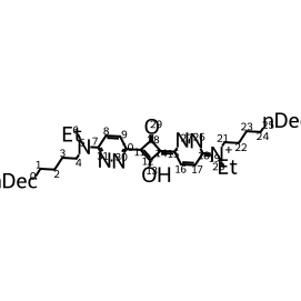 CCCCCCCCCCCCCCN(CC)c1ccc(C2=C(O)/C(=C3C=C/C(=[N+](\CC)CCCCCCCCCCCCCC)N=N\3)C2=O)nn1